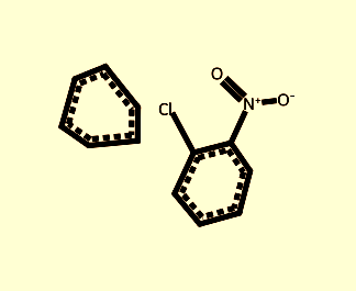 O=[N+]([O-])c1ccccc1Cl.c1ccccc1